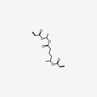 C=CC(=O)OC(C)CCCC(=O)OC(C)OC(=O)C=C